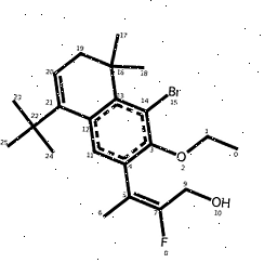 CCOc1c(/C(C)=C(/F)CO)cc2c(c1Br)C(C)(C)CC=C2C(C)(C)C